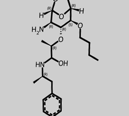 CCCCO[C@H]1[C@H](O[C@H](C)C(O)N[C@H](C)Cc2ccccc2)[C@@H](N)[C@@H]2OC[C@H]1O2